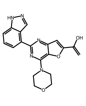 C=C(O)c1cc2nc(-c3cccc4[nH]ncc34)nc(N3CCOCC3)c2o1